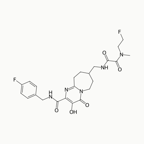 CN(CCF)C(=O)C(=O)NCC1CCc2nc(C(=O)NCc3ccc(F)cc3)c(O)c(=O)n2CC1